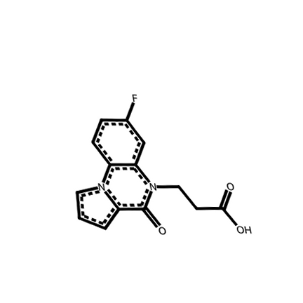 O=C(O)CCn1c(=O)c2cccn2c2ccc(F)cc21